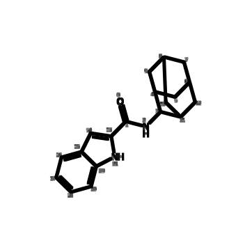 O=C(NC1C2CC3CC(C2)CC1C3)c1cc2ccccc2[nH]1